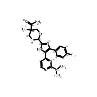 CN(C)c1nccc(-c2[nH]c(C3OCC(C)(C(N)=O)CO3)nc2-c2ccc(F)cc2)n1